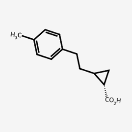 Cc1ccc(CCC2C[C@@H]2C(=O)O)cc1